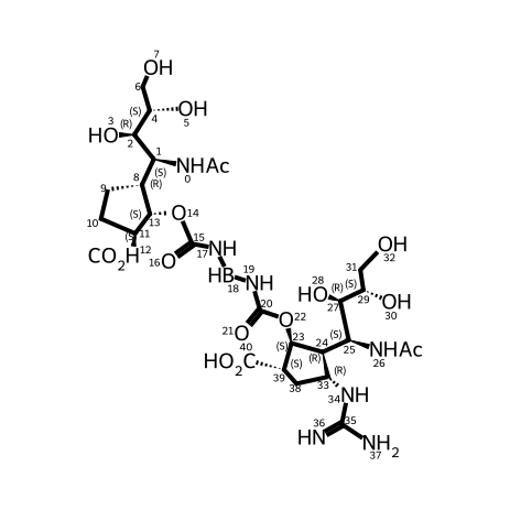 CC(=O)N[C@H]([C@@H](O)[C@@H](O)CO)[C@H]1CC[C@H](C(=O)O)[C@H]1OC(=O)NBNC(=O)O[C@H]1[C@@H]([C@H](NC(C)=O)[C@@H](O)[C@@H](O)CO)[C@H](NC(=N)N)C[C@@H]1C(=O)O